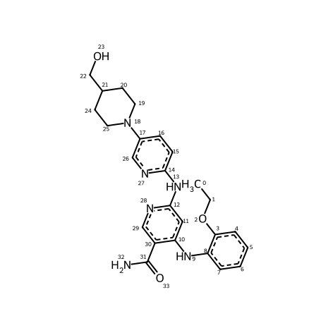 CCOc1ccccc1Nc1cc(Nc2ccc(N3CCC(CO)CC3)cn2)ncc1C(N)=O